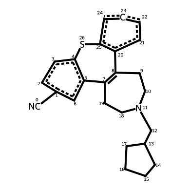 N#Cc1ccc2c(c1)C1=C(CCN(CC3CCCC3)CC1)c1ccccc1S2